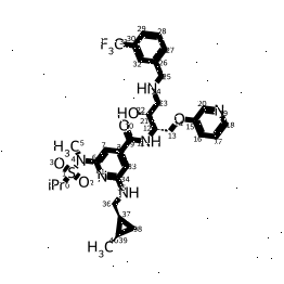 CC(C)S(=O)(=O)N(C)c1cc(C(=O)N[C@@H](COc2cccnc2)[C@H](O)CNCc2cccc(C(F)(F)F)c2)cc(NC[C@H]2C[C@@H]2C)n1